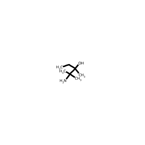 CCC(C)(O)C(C)(C)N